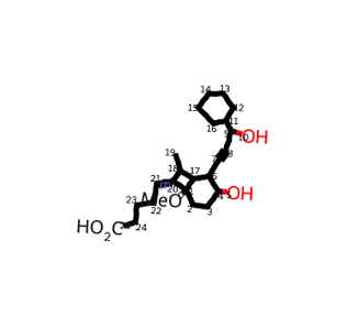 COC12CCC(O)C(C#CC(O)C3CCCCC3)C1C(C)/C2=C/CCCC(=O)O